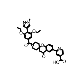 CCOc1cc(C(=O)N2CCC3(CC2)CC(=O)c2cc(-c4cc(C(=O)O)ccn4)ccc2O3)cc(OCC)c1-c1cnn(C)c1